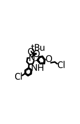 CC(C)(C)OC(=O)N1CCC2c3cc(Cl)ccc3NC2[C@@H]1c1ccc(OCCCCl)cc1